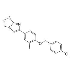 Cc1cc(-c2cn3ccsc3n2)ccc1OCc1ccc(Cl)cc1